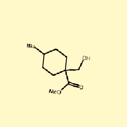 COC(=O)C1(CO)CCC(C(C)(C)C)CC1